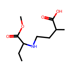 CCC(NCCC(C)C(=O)O)C(=O)OC